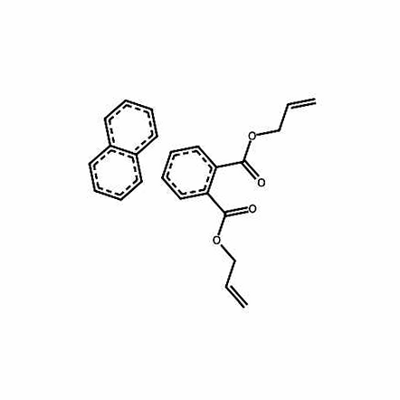 C=CCOC(=O)c1ccccc1C(=O)OCC=C.c1ccc2ccccc2c1